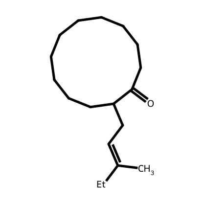 CCC(C)=CCC1CCCCCCCCCCC1=O